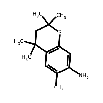 Cc1cc2c(cc1N)SC(C)(C)CC2(C)C